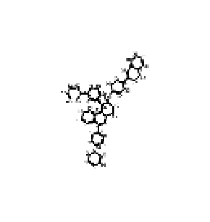 C1=CCC(c2ccc(-c3cc4c(c5ccccc35)-c3c(n(C5=CCC(C6=CC7C=CC=CC7CC6)CC5)c5ccc(C6C=CC=CC6)cc35)CC4)cc2)C=C1